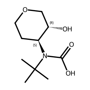 CC(C)(C)N(C(=O)O)[C@H]1CCOC[C@@H]1O